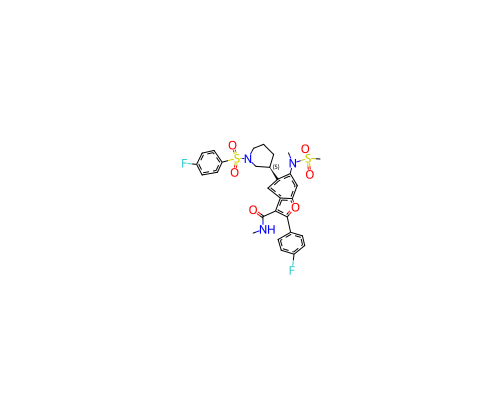 CNC(=O)c1c(-c2ccc(F)cc2)oc2cc(N(C)S(C)(=O)=O)c([C@@H]3CCCN(S(=O)(=O)c4ccc(F)cc4)C3)cc12